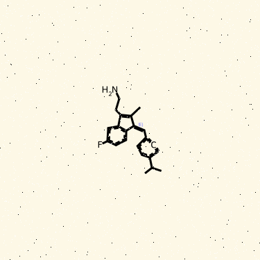 CC1=C(CCN)c2cc(F)ccc2/C1=C\c1ccc(C(C)C)cc1